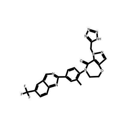 Cc1cc(-c2ncc3cc(C(F)(F)F)ccc3n2)ccc1N1CCOc2cnn(Cc3nnn[nH]3)c2C1=O